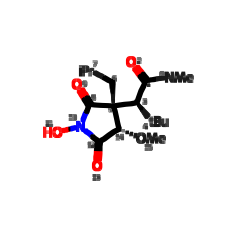 CNC(=O)[C@@H](C(C)(C)C)[C@@]1(CC(C)C)C(=O)N(O)C(=O)[C@H]1OC